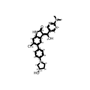 CN(C)c1ncc(C(O)=C2C(=O)Nc3cc(Cl)c(-c4ccc(N5CC[C@H](O)C5)cc4)cc32)cn1